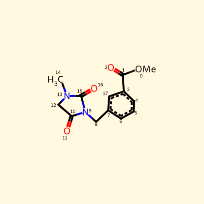 COC(=O)c1cccc(CN2C(=O)CN(C)C2=O)c1